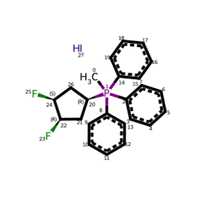 CP(c1ccccc1)(c1ccccc1)(c1ccccc1)[C@H]1C[C@@H](F)[C@@H](F)C1.I